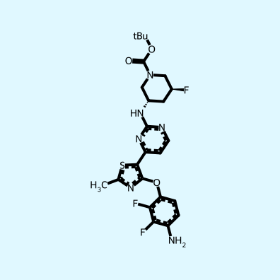 Cc1nc(Oc2ccc(N)c(F)c2F)c(-c2ccnc(N[C@H]3C[C@H](F)CN(C(=O)OC(C)(C)C)C3)n2)s1